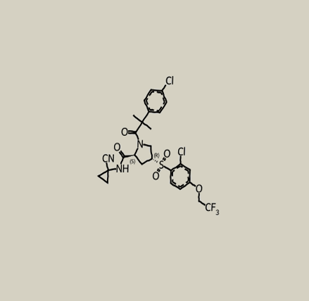 CC(C)(C(=O)N1C[C@H](S(=O)(=O)c2ccc(OCC(F)(F)F)cc2Cl)C[C@H]1C(=O)NC1(C#N)CC1)c1ccc(Cl)cc1